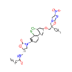 CC(=O)NC[C@H]1CN(c2ccc(-c3ccc(OCC4(C)Cn5cc([N+](=O)[O-])nc5O4)cc3Cl)c(F)c2)C(=O)O1